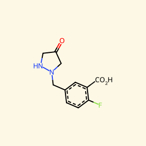 O=C1CNN(Cc2ccc(F)c(C(=O)O)c2)C1